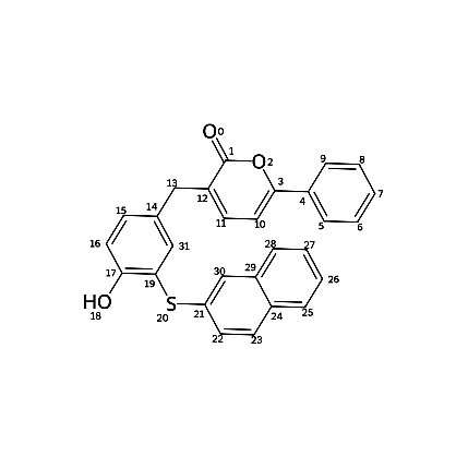 O=c1oc(-c2ccccc2)ccc1Cc1ccc(O)c(Sc2ccc3ccccc3c2)c1